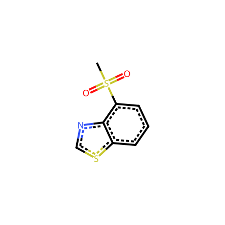 CS(=O)(=O)c1cccc2scnc12